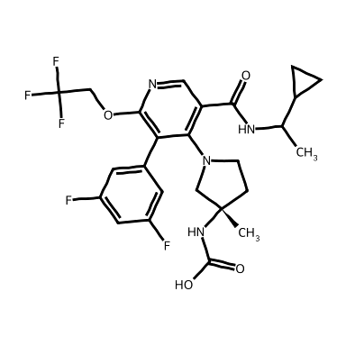 CC(NC(=O)c1cnc(OCC(F)(F)F)c(-c2cc(F)cc(F)c2)c1N1CC[C@](C)(NC(=O)O)C1)C1CC1